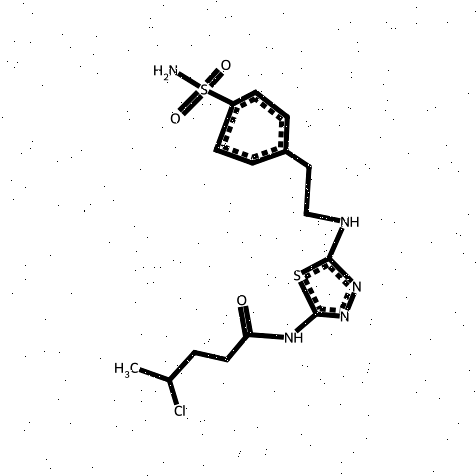 CC(Cl)CCC(=O)Nc1nnc(NCCc2ccc(S(N)(=O)=O)cc2)s1